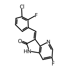 O=C1Nc2cc(F)cnc2C1=Cc1cccc(Cl)c1F